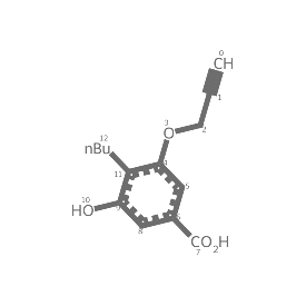 C#CCOc1cc(C(=O)O)cc(O)c1CCCC